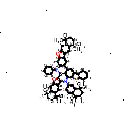 CC1(C)CCC(C)(C)c2cc(N3c4c(oc5cc6c(cc45)C(C)(C)CCC6(C)C)B4c5c(cc6c(oc7ccccc76)c53)-c3cc5c(cc3N4c3ccccc3)oc3cc4c(cc35)C(C)(C)CCC4(C)C)ccc21